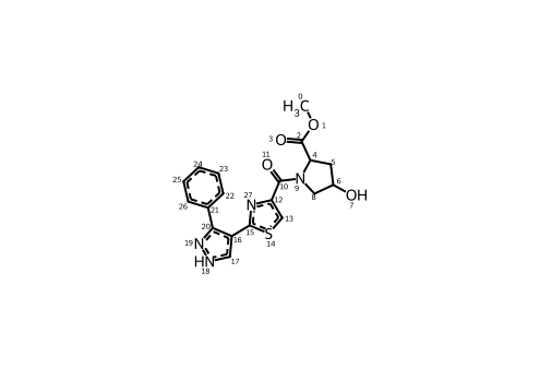 COC(=O)C1CC(O)CN1C(=O)c1csc(-c2c[nH]nc2-c2ccccc2)n1